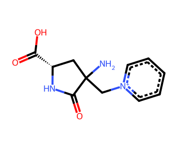 NC1(C[n+]2ccccc2)C[C@@H](C(=O)O)NC1=O